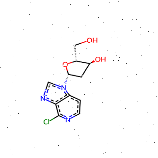 OC[C@H]1O[C@@H](n2cnc3c(Cl)nccc32)C[C@@H]1O